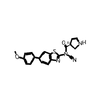 COc1ccc(-c2ccc3nc(N(C#N)C(=O)[C@H]4CCNC4)sc3c2)cc1